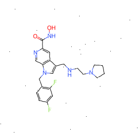 O=C(NO)c1cc2c(CNCCN3CCCC3)cn(Cc3ccc(F)cc3F)c2cn1